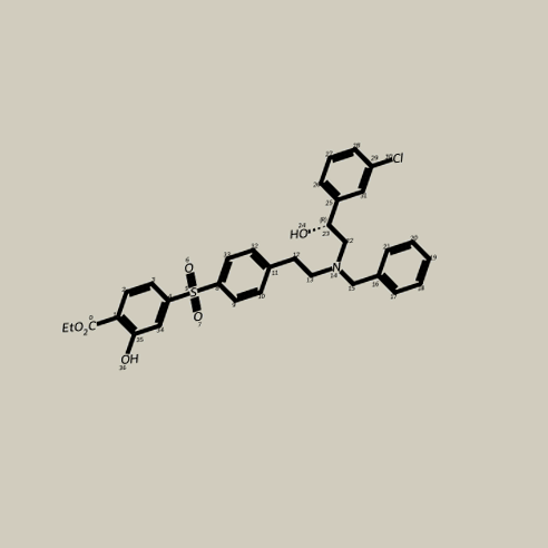 CCOC(=O)c1ccc(S(=O)(=O)c2ccc(CCN(Cc3ccccc3)C[C@H](O)c3cccc(Cl)c3)cc2)cc1O